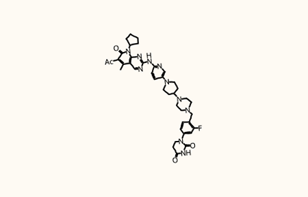 CC(=O)c1c(C)c2cnc(Nc3ccc(N4CCC(N5CCN(Cc6ccc(N7CCC(=O)NC7=O)cc6F)CC5)CC4)cn3)nc2n(C2CCCC2)c1=O